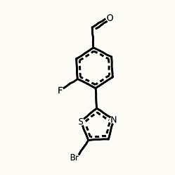 O=Cc1ccc(-c2ncc(Br)s2)c(F)c1